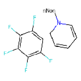 CCCCCCCCCN1C=CC=CC1.Fc1cc(F)c(F)c(F)c1F